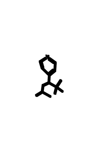 CC(C)CC(c1ccncc1)C(C)(C)C